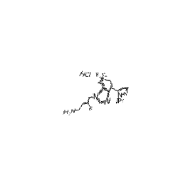 CC(C)n1nccc1-c1cc(C(F)(F)F)cc2c1ncn2C/C(F)=C/CN.Cl